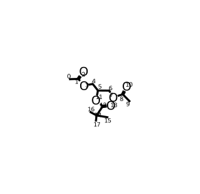 CC(=O)OCC(COC(C)=O)OC(=O)C(C)(C)C